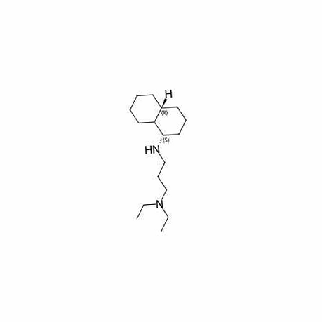 CCN(CC)CCCN[C@H]1CCC[C@H]2CCCCC21